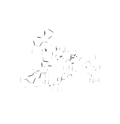 CC[C@@]1(O)C(=O)OCc2c1cc1n(c2=O)Cc2c-1nc1cc(F)c(C)c3c1c2[C@@H](NC(=O)C(C)(C)COCNC(=O)[C@H](C)NC(=O)[C@@H](NC(=O)[C@H](CCC(=O)NC[C@H]1O[C@@H](CC(N)=O)[C@H](O)[C@@H]1O)NC(=O)OCC1c2ccccc2-c2ccccc21)C(C)C)CC3